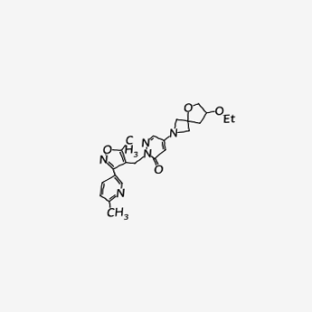 CCOC1COC2(C1)CN(c1cnn(Cc3c(-c4ccc(C)nc4)noc3C)c(=O)c1)C2